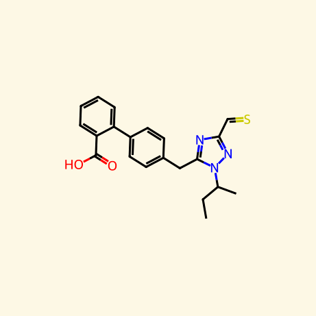 CCC(C)n1nc(C=S)nc1Cc1ccc(-c2ccccc2C(=O)O)cc1